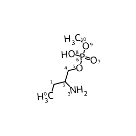 CCC(N)COP(=O)(O)OC